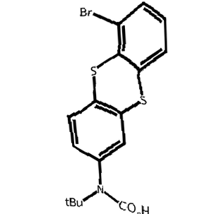 CC(C)(C)N(C(=O)O)c1ccc2c(c1)Sc1cccc(Br)c1S2